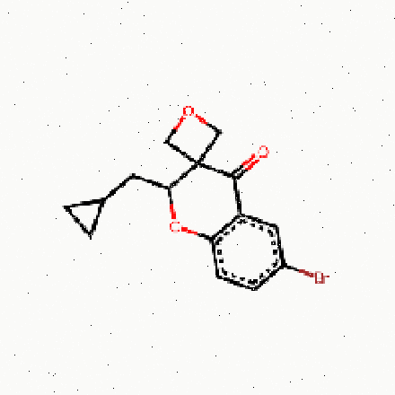 O=C1c2cc(Br)ccc2OC(CC2CC2)C12COC2